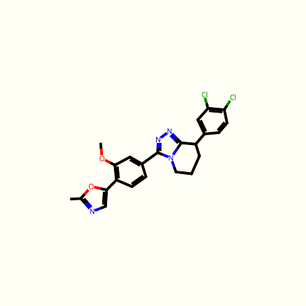 COc1cc(-c2nnc3n2CCCC3c2ccc(Cl)c(Cl)c2)ccc1-c1cnc(C)o1